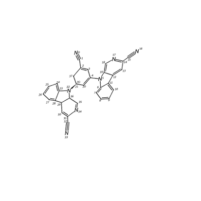 N#CC1=CC(n2c3ccccc3c3cc(C#N)ncc32)=C[C@@H](N2c3ccccc3C3C=C(C#N)N=CC32)C1